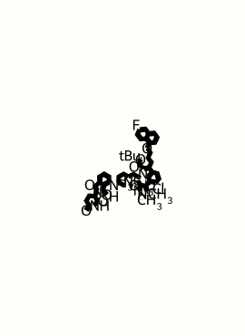 Cc1nn(C)c(C)c1-c1c(Cl)ccc2c(CCCOc3cccc4cc(F)ccc34)c(C(=O)OC(C)(C)C)n(CCC3CCC(Nc4cccc5c4C(=O)N(C4CCC(=O)NC4=O)C5=O)CN3C)c12